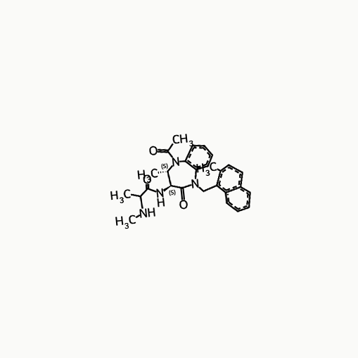 CNC(C)C(=O)N[C@@H]1C(=O)N(Cc2c(C)ccc3ccccc23)c2ccccc2N(C(C)=O)[C@H]1C